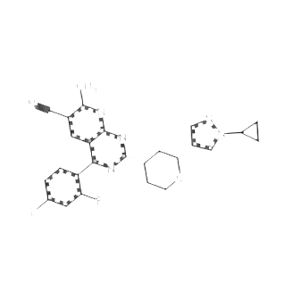 Cc1nc2nc([C@H]3CCO[C@@H](c4cnn(C5CC5)c4)C3)nc(-c3ccc(F)cc3F)c2cc1C#N